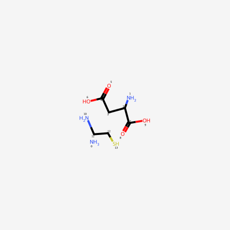 N.NC(CC(=O)O)C(=O)O.NCCS